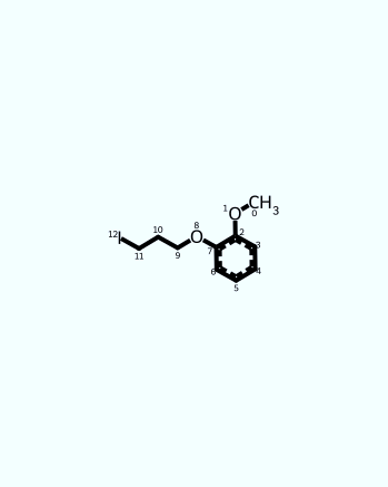 COc1ccccc1OCCCI